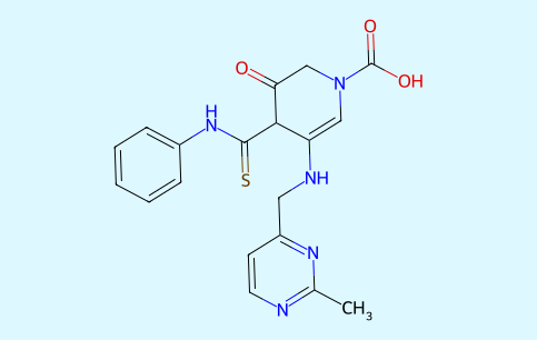 Cc1nccc(CNC2=CN(C(=O)O)CC(=O)C2C(=S)Nc2ccccc2)n1